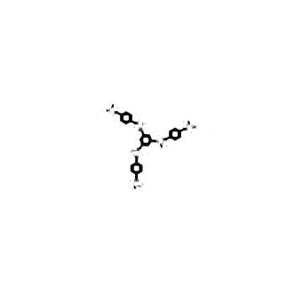 Cc1nc(-c2ccc(-c3noc(-c4cc(-c5nc(-c6ccc(-c7noc(C)n7)cc6)no5)cc(-c5nc(-c6ccc(-c7noc(C)n7)cc6)no5)c4)n3)cc2)no1